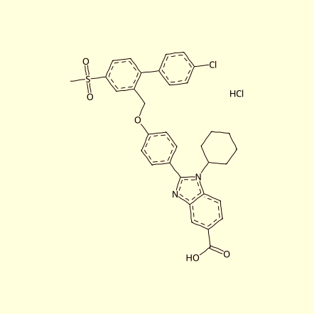 CS(=O)(=O)c1ccc(-c2ccc(Cl)cc2)c(COc2ccc(-c3nc4cc(C(=O)O)ccc4n3C3CCCCC3)cc2)c1.Cl